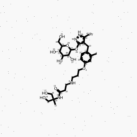 Cc1cc(OCCCNCCC(=O)NC(C)(CO)CO)ccc1Cc1c(OC2OC(CO)[C@@H](O)C(O)[C@H]2O)n[nH]c1C(C)C